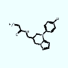 C=CC(=O)NCC1CN(c2ccc(Cl)cc2)c2ccnn2C1